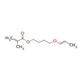 C=C(C)C(=O)OCCCCOC=CC